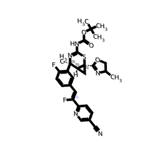 CC1COC([C@]23C[C@H]2[C@@](C)(c2cc(/C=C(\F)c4ccc(C#N)cn4)ccc2F)N=C(NC(=O)OC(C)(C)C)S3)=N1